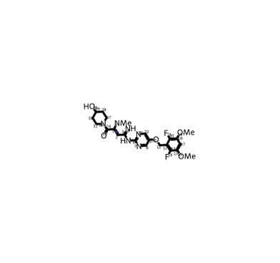 CN/C(=C\C(=N)Nc1ncc(OCc2c(F)c(OC)cc(OC)c2F)cn1)C(=O)N1CCC(O)CC1